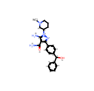 N#CN1CCCC(n2nc(-c3ccc(C(O)c4ccccc4)cc3)c(C(N)=O)c2N)C1